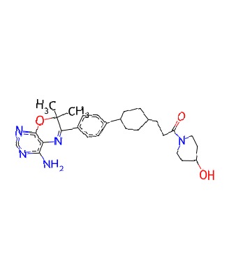 CC1(C)Oc2ncnc(N)c2N=C1c1ccc(C2CCC(CCC(=O)N3CCC(O)CC3)CC2)cc1